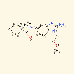 COCCn1c(N)nc2cc(N(C)C(=O)c3ccccc3)ccc21